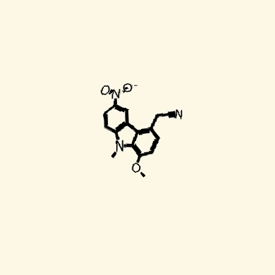 COc1ccc(CC#N)c2c3cc([N+](=O)[O-])ccc3n(C)c12